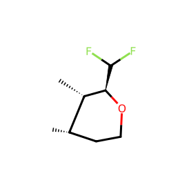 C[C@@H]1[C@@H](C(F)F)OCC[C@@H]1C